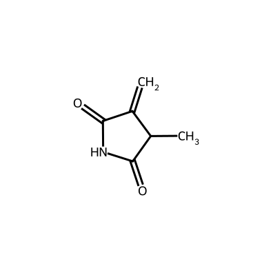 C=C1C(=O)NC(=O)C1C